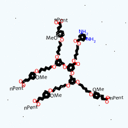 CCCCCOC(=O)C=Cc1ccc(OCCCCCCOc2cc(COc3cc(OCc4cc(OCCCCCCOc5ccc(C=CC(=O)OCCCCC)cc5OC)cc(OCCCCCCOc5ccc(C=CC(=O)OCCCCC)cc5OC)c4)cc(C(=O)OCCCCCCOC(=O)c4cc(N)cc(N)c4)c3)cc(OCCCCCCOc3ccc(C=CC(=O)OCCCCC)cc3OC)c2)c(OC)c1